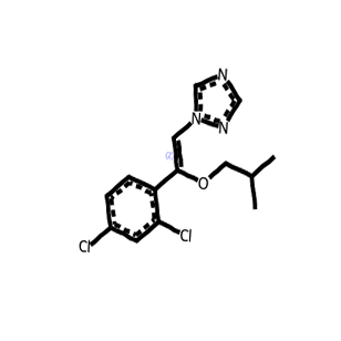 CC(C)CO/C(=C\n1cncn1)c1ccc(Cl)cc1Cl